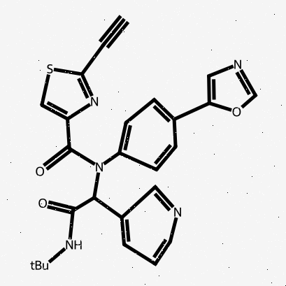 C#Cc1nc(C(=O)N(c2ccc(-c3cnco3)cc2)C(C(=O)NC(C)(C)C)c2cccnc2)cs1